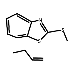 C=CCC.CSc1nc2ccccc2s1